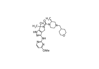 COc1ccnc(Nc2n[nH]c3c2CN(C(=O)N2CCN(CC4CCOCC4)C[C@@H]2C)C3(C)C)n1